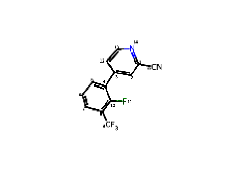 N#Cc1cc(-c2cccc(C(F)(F)F)c2F)ccn1